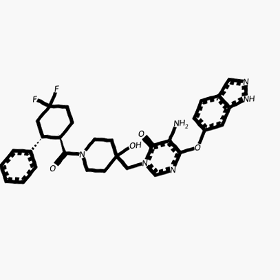 Nc1c(Oc2ccc3cn[nH]c3c2)ncn(CC2(O)CCN(C(=O)[C@@H]3CCC(F)(F)C[C@H]3c3ccccc3)CC2)c1=O